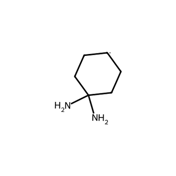 NC1(N)CC[CH]CC1